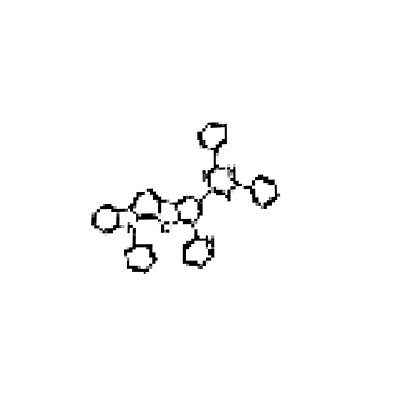 c1ccc(-c2nc(-c3ccccc3)nc(-c3cc(-c4ccccn4)c4oc5c(ccc6c7ccccc7n(-c7ccccc7)c65)c4c3)n2)cc1